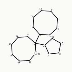 C1CCCC(C2(C3CCCC3)CCCCCCO2)CCC1